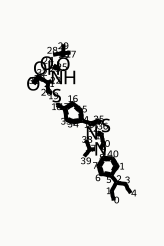 CCC(CC)c1ccc(N(Cc2nc(-c3ccc(CSCC(NC(=O)OC(C)(C)C)C(=O)O)cc3)cs2)C(C)C)cc1